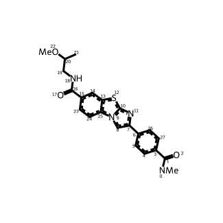 CNC(=O)c1ccc(-c2cn3c(n2)sc2cc(C(=O)NCC(C)OC)ccc23)cc1